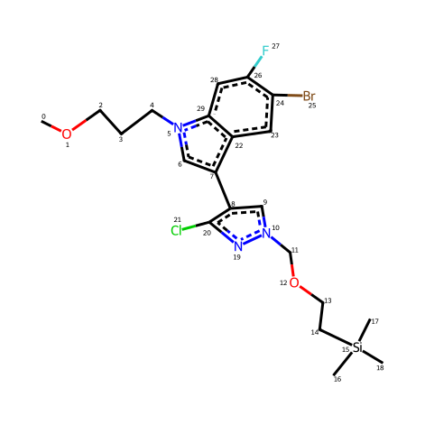 COCCCn1cc(-c2cn(COCC[Si](C)(C)C)nc2Cl)c2cc(Br)c(F)cc21